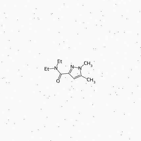 CCN(CC)C(=O)c1cc(C)n(C)n1